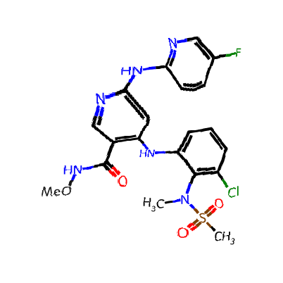 CONC(=O)c1cnc(Nc2ccc(F)cn2)cc1Nc1cccc(Cl)c1N(C)S(C)(=O)=O